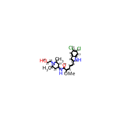 CO/C(=C/C=C/c1cc2cc(Cl)c(Cl)cc2[nH]1)C(=O)NC1CC(C)N(CCO)C(C)C1